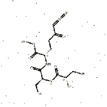 CC(C)C[C@H](NC(=O)[C@@H](N)CC(C)C)C(=O)N[C@@H](CCC(=O)C=[N+]=[N-])C(=O)OC(C)C